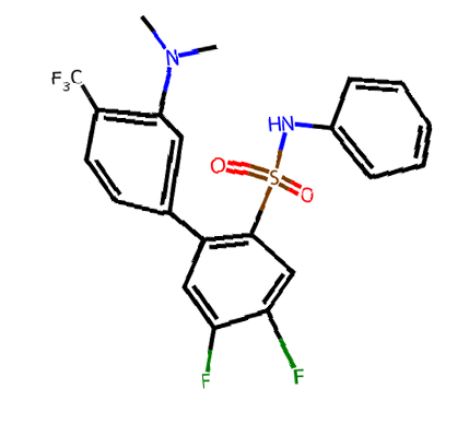 CN(C)c1cc(-c2cc(F)c(F)cc2S(=O)(=O)Nc2ccccc2)ccc1C(F)(F)F